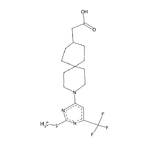 CSc1nc(N2CCC3(CCC(CC(=O)O)CC3)CC2)cc(C(F)(F)F)n1